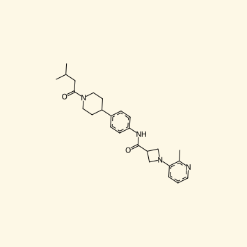 Cc1ncccc1N1CC(C(=O)Nc2ccc(C3CCN(C(=O)CC(C)C)CC3)cc2)C1